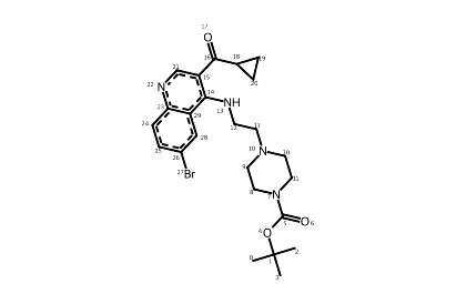 CC(C)(C)OC(=O)N1CCN(CCNc2c(C(=O)C3CC3)cnc3ccc(Br)cc23)CC1